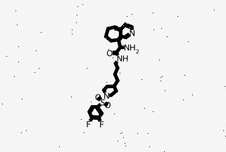 NC(C(=O)NCCCCC1CCN(S(=O)(=O)c2ccc(F)c(F)c2)CC1)C1=c2cnccc2=CCCC1